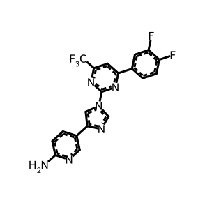 Nc1ccc(-c2cn(-c3nc(-c4ccc(F)c(F)c4)cc(C(F)(F)F)n3)cn2)cn1